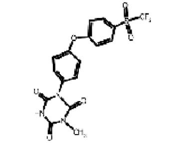 Cn1c(=O)[nH]c(=O)n(-c2ccc(Oc3ccc(S(=O)(=O)C(F)(F)F)cc3)cc2)c1=O